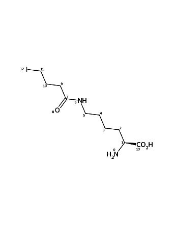 N[C@@H](CCCCNC(=O)CCCI)C(=O)O